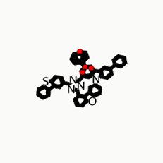 c1ccc(-c2cccc(-c3nc(-c4ccc5sc6ccccc6c5c4)nc(-c4cccc5oc6ccc(-n7c8ccc(-c9ccccc9)cc8c8cc(-c9ccccc9)ccc87)cc6c45)n3)c2)cc1